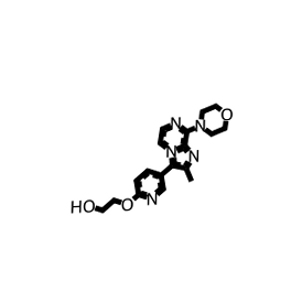 Cc1nc2c(N3CCOCC3)nccn2c1-c1ccc(OCCO)nc1